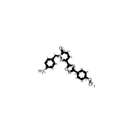 Cc1ccc(Cn2nc(-c3nc(-c4ccc(OC(F)(F)F)cc4)no3)ccc2=O)cc1